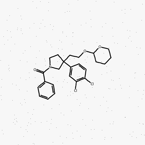 O=C(c1ccccc1)N1CCC(CCOC2CCCCO2)(c2ccc(Cl)c(Cl)c2)C1